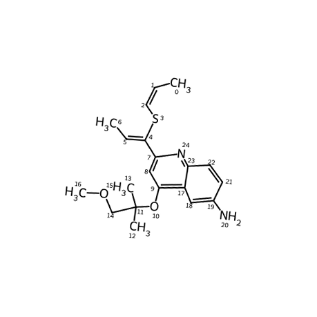 C/C=C\S/C(=C\C)c1cc(OC(C)(C)COC)c2cc(N)ccc2n1